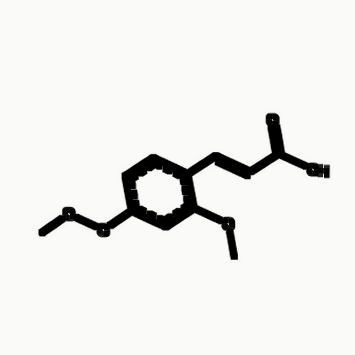 COOc1ccc(/C=C/C(=O)O)c(OC)c1